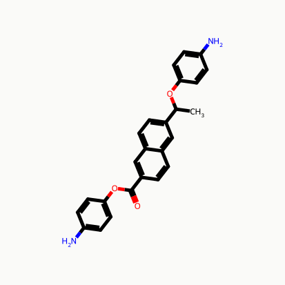 CC(Oc1ccc(N)cc1)c1ccc2cc(C(=O)Oc3ccc(N)cc3)ccc2c1